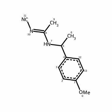 COc1ccc(C(C)N/C(C)=N/C#N)cc1